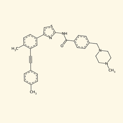 Cc1ccc(C#Cc2cc(-c3csc(NC(=O)c4ccc(CN5CCN(C)CC5)cc4)n3)ccc2C)cc1